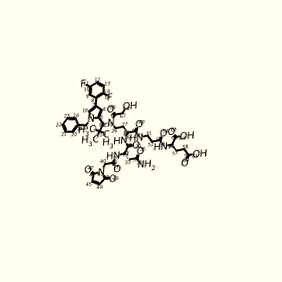 CC(C)(C)[C@H](c1cc(-c2cc(F)ccc2F)cn1Cc1ccccc1)N(CC[C@H](NC(=O)[C@H](CC(N)=O)NC(=O)CN1C(=O)C=CC1=O)C(=O)NCCC(=O)N[C@H](CCC(=O)O)C(=O)O)C(=O)CO